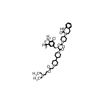 CCN(CC)CCOC(=O)CN1CCC(C2CCN(C(=O)[C@@H](Cc3cc(Cl)c(N)c(C(F)(F)F)c3)OC(=O)N3CCC(N4CCc5ccccc5NC4=O)CC3)CC2)CC1